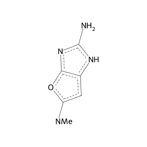 CNc1cc2[nH]c(N)nc2o1